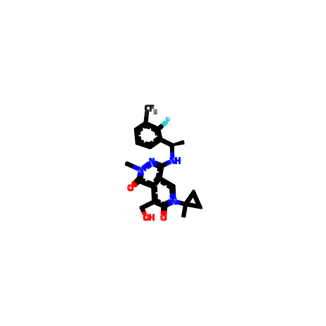 C[C@@H](Nc1nn(C)c(=O)c2c(CO)c(=O)n(C3(C)CC3)cc12)c1cccc(C(F)(F)F)c1F